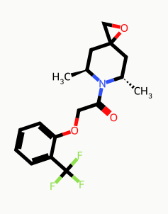 C[C@H]1CC2(CO2)C[C@H](C)N1C(=O)COc1ccccc1C(F)(F)F